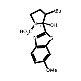 COc1ccc2nc([C@@]3(O)C(C(C)(C)C)CCN3C(=O)O)sc2c1